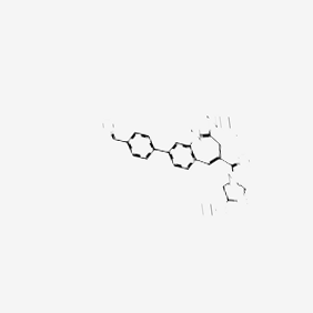 NC1=Nc2cc(-c3ccc(C=O)cc3)ccc2C=C(C(=O)N2COC(O)C2)C1